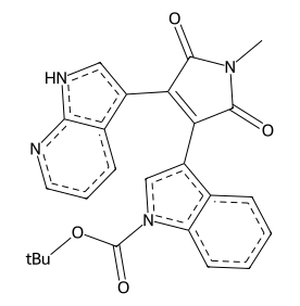 CN1C(=O)C(c2c[nH]c3ncccc23)=C(c2cn(C(=O)OC(C)(C)C)c3ccccc23)C1=O